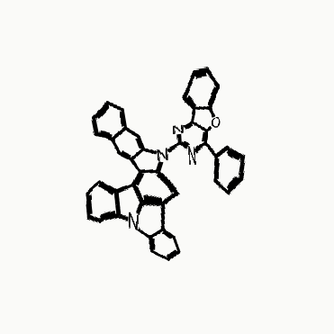 c1ccc(-c2nc(-n3c4cc5ccccc5cc4c4c5c6ccccc6n6c7ccccc7c(cc43)c56)nc3c2oc2ccccc23)cc1